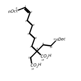 CCCCCCCC/C=C\CCCCCC(CCCCCCCCCCCC)(CC(=O)O)C(=O)O